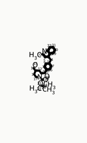 Cc1cc(Cc2ccc(C(=O)C3CC([C]=O)CCN3C(=O)OC(C)(C)C)cc2)c2ccccc2n1